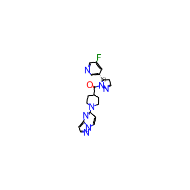 O=C(C1CCN(c2ccn3nccc3n2)CC1)N1N=CC[C@H]1c1cncc(F)c1